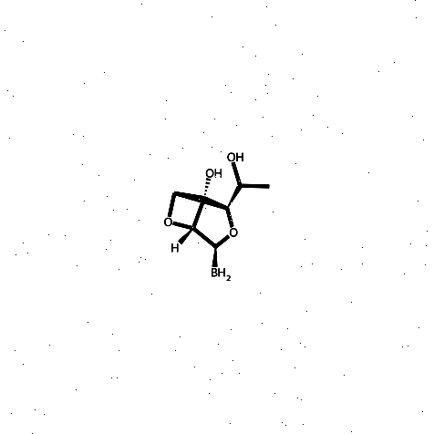 B[C@@H]1O[C@@]2(C(C)O)C3O[C@@H]1[C@@]32O